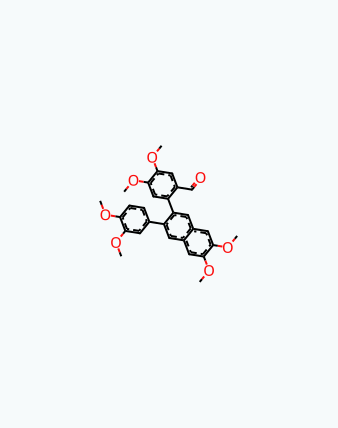 COc1ccc(-c2cc3cc(OC)c(OC)cc3cc2-c2cc(OC)c(OC)cc2C=O)cc1OC